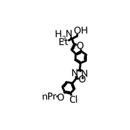 CCCOc1ccc(-c2nc(-c3ccc4oc(C(N)(CC)CO)cc4c3)no2)cc1Cl